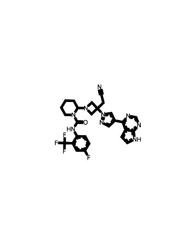 N#CCC1(n2cc(-c3ncnc4[nH]ccc34)cn2)CN(C2CCCCN2C(=O)Nc2ccc(F)cc2C(F)(F)F)C1